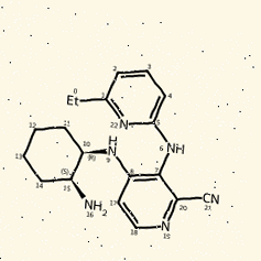 CCc1cccc(Nc2c(N[C@@H]3CCCC[C@@H]3N)ccnc2C#N)n1